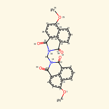 CC(C)Oc1ccc2c3c(cccc13)C(=O)N(CN1C(=O)c3cccc4c(OC(C)C)ccc(c34)C1=O)C2=O